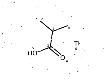 CC(C)C(=O)O.[Tl]